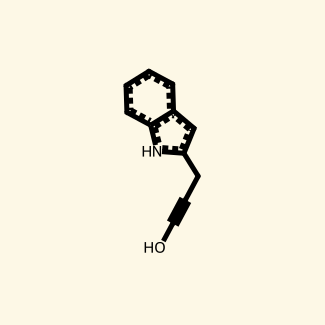 OC#CCc1cc2ccccc2[nH]1